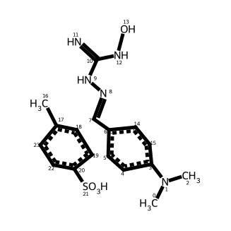 CN(C)c1ccc(C=NNC(=N)NO)cc1.Cc1ccc(S(=O)(=O)O)cc1